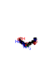 COc1cc(-c2ccc([C@@H](Oc3cc(N4CCC5(CC4)CNC(C(=O)O)C5)nc(N)n3)C(F)(F)F)cc2)ccc1C(=O)N1CCCC1